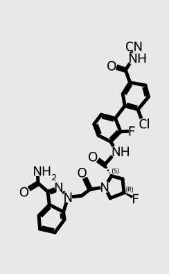 N#CNC(=O)c1ccc(Cl)c(-c2cccc(NC(=O)[C@@H]3C[C@@H](F)CN3C(=O)Cn3nc(C(N)=O)c4ccccc43)c2F)c1